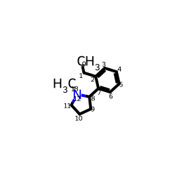 CCc1ccccc1C1CCCN1C